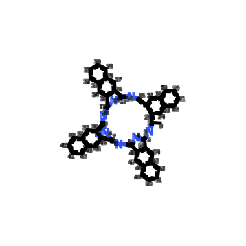 Cc1nc2nc(nc3[nH]c(nc4nc(ncc5cc6ccccc6cc15)-c1cc5ccccc5cc1-4)c1cc4ccccc4cc31)-c1cc3ccccc3cc1-2